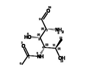 CC(=O)N[C@H]([C@H](O)[C@@H](N)C=O)[C@@H](C)O